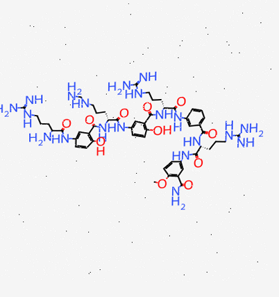 COc1ccc(NC(=O)[C@@H](CCCNC(=N)N)NC(=O)c2cccc(NC(=O)[C@@H](CCCNC(=N)N)NC(=O)c3cc(NC(=O)[C@@H](CCCNCN)NC(=O)c4cc(NC(=O)[C@H](N)CCCNC(=N)N)ccc4O)ccc3O)c2)cc1C(N)=O